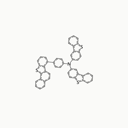 c1ccc2c(c1)ccc1c2sc2cccc(-c3ccc(N(c4ccc5sc6ccccc6c5c4)c4ccc5sc6ccccc6c5c4)cc3)c21